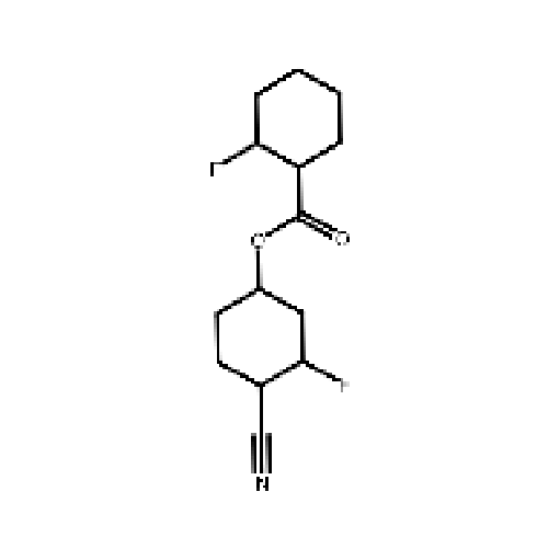 N#CC1CCC(OC(=O)C2CCCCC2F)CC1F